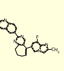 Cc1cn2cc(C3=CCCCc4nc(-c5ccc6ncccc6c5)ncc43)cc(F)c2n1